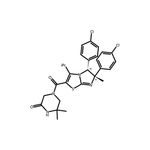 CC(C)C1=C(C(=O)N2CC(=O)NC(C)(C)C2)SC2=N[C@@](C)(c3ccc(Cl)cc3)[C@@H](c3ccc(Cl)cc3)N21